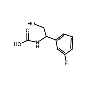 O=C(O)NC(CO)c1cccc(F)c1